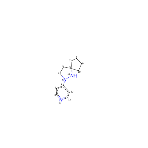 c1cc(N2CCC3(CCCC3)N2)ccn1